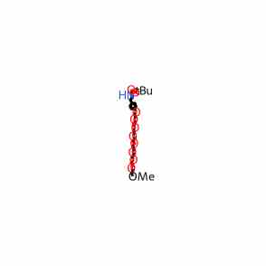 COCCOCCOCCOCCOCCOCCOCCOCCOc1ccc(CCNC(=O)OC(C)(C)C)cc1